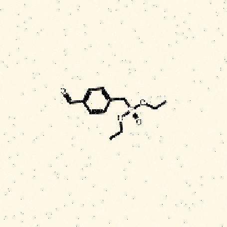 CCOP(=O)(Cc1ccc([C]=O)cc1)OCC